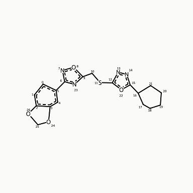 c1cc2c(cc1-c1noc(CSc3nnc(C4CCCCC4)o3)n1)OCO2